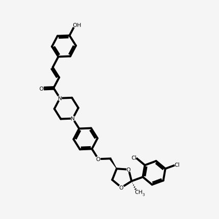 C[C@]1(c2ccc(Cl)cc2Cl)OC[C@@H](COc2ccc(N3CCN(C(=O)/C=C/c4ccc(O)cc4)CC3)cc2)O1